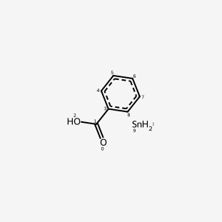 O=C(O)c1ccccc1.[SnH2]